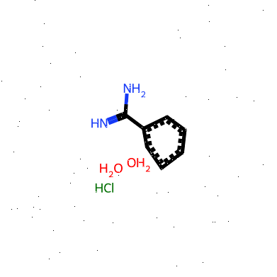 Cl.N=C(N)c1ccccc1.O.O